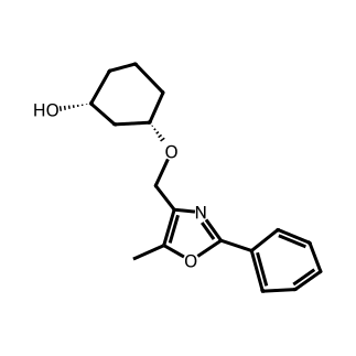 Cc1oc(-c2ccccc2)nc1CO[C@H]1CCC[C@@H](O)C1